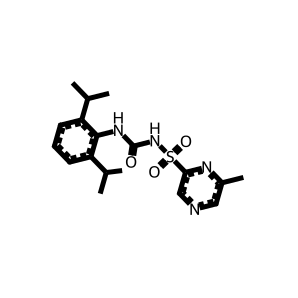 Cc1cncc(S(=O)(=O)NC(=O)Nc2c(C(C)C)cccc2C(C)C)n1